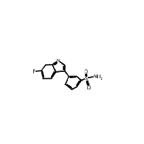 NS(=O)(=O)c1cccc(C2=CN=C3CC(F)=CC=C23)c1